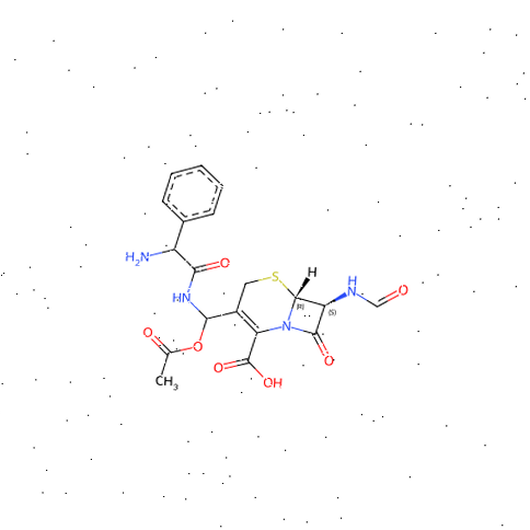 CC(=O)OC(NC(=O)C(N)c1ccccc1)C1=C(C(=O)O)N2C(=O)[C@H](NC=O)[C@H]2SC1